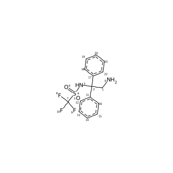 NCC(NS(=O)(=O)C(F)(F)F)(c1ccccc1)c1ccccc1